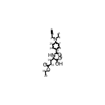 C#CCN(CC)c1ccc(C(=O)NC(CCC(=O)OCC)C(=O)O)cc1